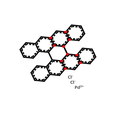 [Cl-].[Cl-].[Pd+2].c1ccc(P(c2ccccc2)c2ccc3ccccc3c2-c2c(P(c3ccccc3)c3ccccc3)ccc3ccccc23)cc1